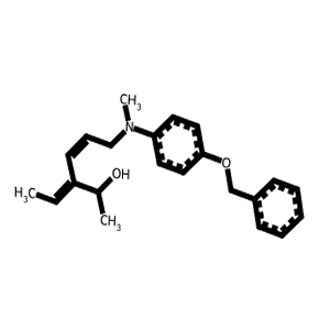 C/C=C(\C=C/CN(C)c1ccc(OCc2ccccc2)cc1)C(C)O